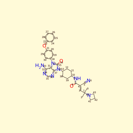 CC(C)(/C=C(\C#N)C(=O)NC1CCC(n2c(=O)n(-c3ccc(Oc4ccccc4)cc3)c3c(N)ncnc32)CC1)N1CCC1